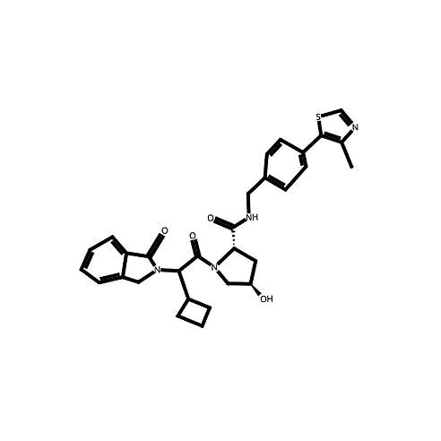 Cc1ncsc1-c1ccc(CNC(=O)[C@@H]2C[C@@H](O)CN2C(=O)C(C2CCC2)N2Cc3ccccc3C2=O)cc1